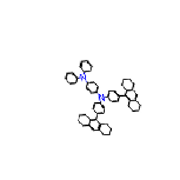 c1ccc(N(c2ccccc2)c2ccc(N(c3ccc(-c4c5c(cc6c4CCCC6)CCCC5)cc3)c3ccc(-c4c5c(cc6c4CCCC6)CCCC5)cc3)cc2)cc1